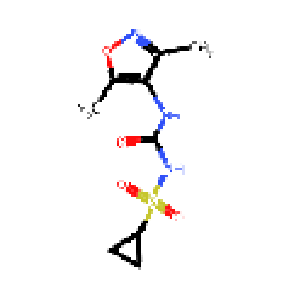 Cc1noc(C)c1NC(=O)NS(=O)(=O)C1CC1